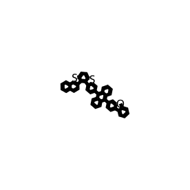 c1ccc2c(c1)ccc1c2sc2ccc3sc4cc(-c5c6ccccc6c(-c6ccc7c(c6)oc6ccccc67)c6ccccc56)ccc4c3c21